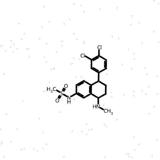 CNC1CCC(c2ccc(Cl)c(Cl)c2)c2ccc(NS(C)(=O)=O)cc21